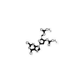 CC(=O)OC[C@H]1O[C@@H](n2cnc3c(Cl)nc(Cl)nc32)CC1OC(C)=O